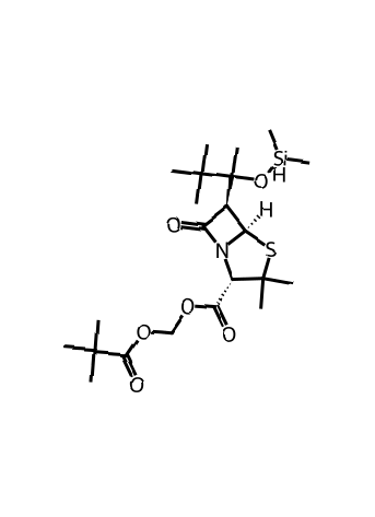 C[SiH](C)OC(C)([C@@H]1C(=O)N2[C@@H]1SC(C)(C)[C@@H]2C(=O)OCOC(=O)C(C)(C)C)C(C)(C)C